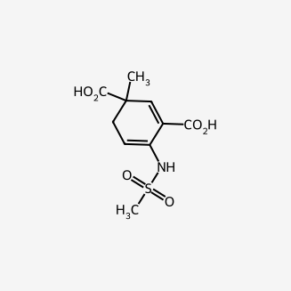 CC1(C(=O)O)C=C(C(=O)O)C(NS(C)(=O)=O)=CC1